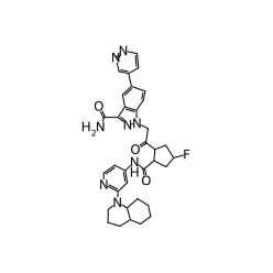 NC(=O)c1nn(CC(=O)C2CC(F)CC2C(=O)Nc2ccnc(N3CCCC4CCCCC43)c2)c2ccc(-c3ccnnc3)cc12